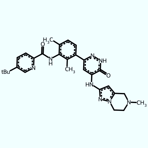 Cc1ccc(-c2cc(Nc3cc4n(n3)CCN(C)C4)c(=O)[nH]n2)c(C)c1NC(=O)c1ccc(C(C)(C)C)cn1